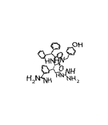 N=C(N)NCCC(c1cccc(C(=N)N)c1)C(NC(=O)C(c1ccccc1)c1ccccc1)C(=O)NCc1ccc(O)cc1